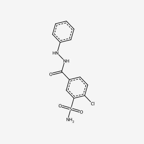 NS(=O)(=O)c1cc(C(=O)NNc2ccccc2)ccc1Cl